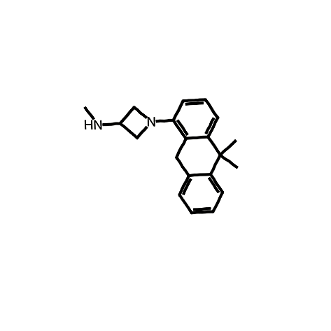 CNC1CN(c2cccc3c2Cc2ccccc2C3(C)C)C1